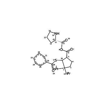 CCCC1(CCC)CCC(C(=O)OC(=O)[C@@H]2CCCN2)C1SC(=O)c1ccccc1